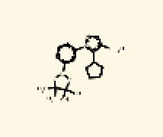 CCOC(=O)c1cnn(-c2cccc(B3OC(C)(C)C(C)(C)O3)c2)c1C1CCCC1